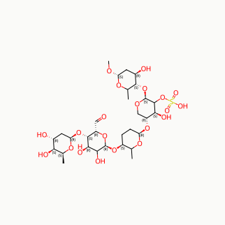 CO[C@@H]1C[C@@H](O)[C@H](O[C@@H]2OC[C@@H](O[C@@H]3CC[C@H](O[C@@H]4O[C@@H](C=O)[C@@H](O[C@@H]5C[C@@H](O)[C@H](O)[C@H](C)O5)[C@H](O)C4O)C(C)O3)[C@H](O)C2OS(=O)(=O)O)C(C)O1